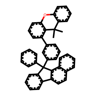 CC1(C)c2ccccc2Oc2cccc(-c3cccc(C4(c5ccccc5)c5ccccc5-c5ccc6ccccc6c54)c3)c21